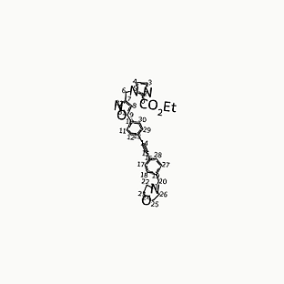 CCOC(=O)c1nccn1Cc1cc(-c2ccc(C#Cc3ccc(CN4CCOCC4)cc3)cc2)on1